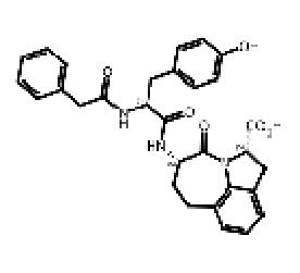 O=C(Cc1ccccc1)N[C@@H](Cc1ccc(O)cc1)C(=O)N[C@H]1CCc2cccc3c2N(C1=O)[C@H](C(=O)O)C3